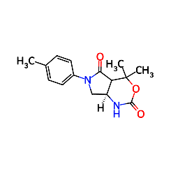 Cc1ccc(N2C[C@@H]3NC(=O)OC(C)(C)C3C2=O)cc1